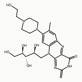 C=c1nc2c(c(=O)[nH]1)=Nc1cc(C)c(N3CCN(CCO)CC3)cc1N2C[C@H](O)[C@H](O)[C@H](O)CO